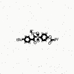 CC(C)C(=O)Oc1ccc(S(=O)(=O)C(=[N+]=[N-])C(=O)c2ccc(C(C)(C)C)cc2)cc1